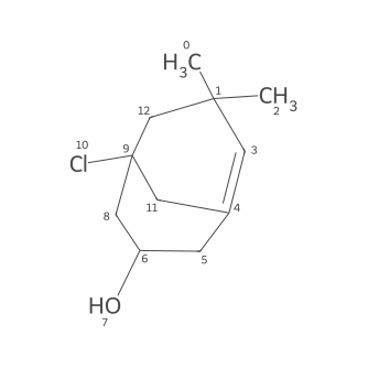 CC1(C)C=C2CC(O)CC(Cl)(C2)C1